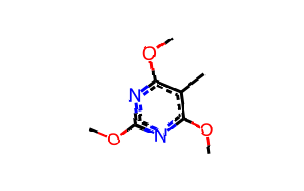 COc1nc(OC)c(C)c(OC)n1